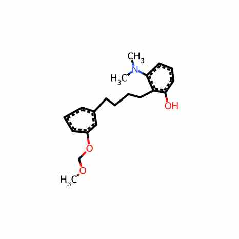 COCOc1cccc(CCCCc2c(O)cccc2N(C)C)c1